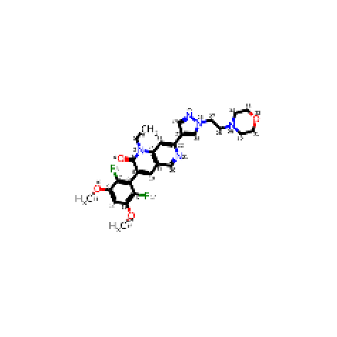 CCn1c(=O)c(-c2c(F)c(OC)cc(OC)c2F)cc2cnc(-c3cnn(CCN4CCOCC4)c3)cc21